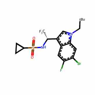 CC(C)(C)Cn1cc([C@H](NS(=O)(=O)C2CC2)C(F)(F)F)c2cc(F)c(Br)cc21